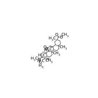 COC(=O)[C@@]1(C)CC[C@]2(C)CC[C@]3(C)C(=CC(=O)[C@@H]4[C@@]5(C)CCC(N(C)C)C(C)(C)[C@@H]5CC[C@]43C)C2C1